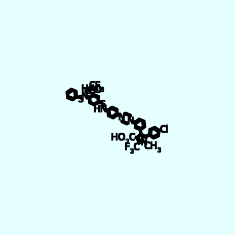 Cn1c(-c2ccc(Cl)cc2)c(-c2cccc(N3CCN(c4ccc(NSC5C=C(S(=O)(=O)C(F)(F)F)C(NSc6ccccc6)CC5)cc4)CC3)c2)c(C(=O)O)c1C(F)(F)F